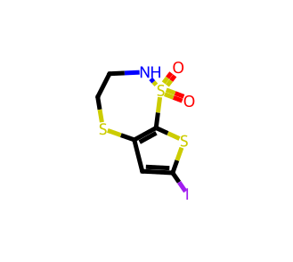 O=S1(=O)NCCSc2cc(I)sc21